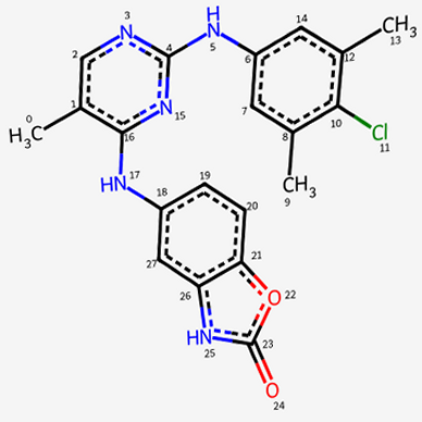 Cc1cnc(Nc2cc(C)c(Cl)c(C)c2)nc1Nc1ccc2oc(=O)[nH]c2c1